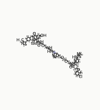 Cc1ncsc1-c1ccc(CNC(=O)[C@@H]2C[C@@H](O)CN2C(=O)[C@@H](NC(=O)COCCNCCN/C=C(/COCCOCCOCCNC(=O)[C@]2(Cc3cccc(Nc4nccs4)n3)CC[C@@H](Oc3cccc(Cl)c3F)CC2)N=N)C(C)(C)C)cc1